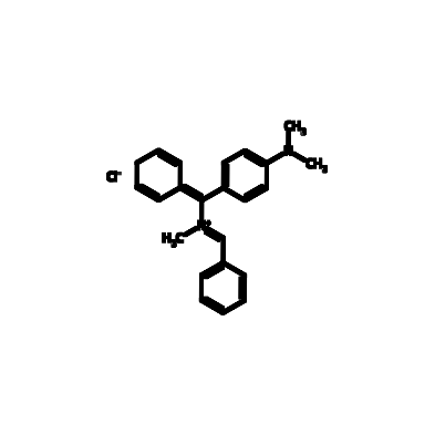 CN(C)c1ccc(C(=C2C=CCC=C2)[N+](C)=Cc2ccccc2)cc1.[Cl-]